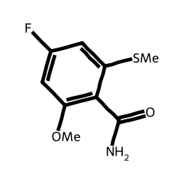 COc1cc(F)cc(SC)c1C(N)=O